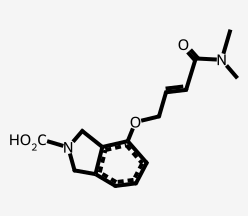 CN(C)C(=O)C=CCOc1cccc2c1CN(C(=O)O)C2